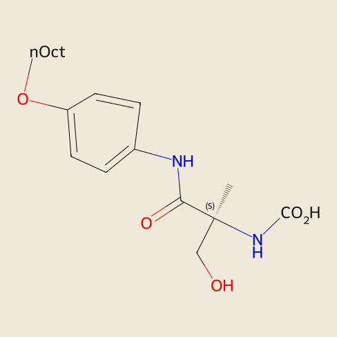 CCCCCCCCOc1ccc(NC(=O)[C@](C)(CO)NC(=O)O)cc1